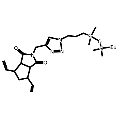 C=CC1CC(C=C)C2C(=O)N(Cc3cn(CCC[Si](C)(C)O[Si](C)(C)C(C)CC)nn3)C(=O)C12